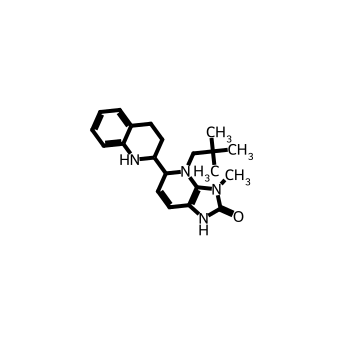 Cn1c2c([nH]c1=O)C=CC(C1CCc3ccccc3N1)N2CC(C)(C)C